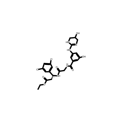 CCOC(=O)C[C@H](NC(=O)CNC(=O)c1cc(O)cc(NC2=NCC(O)CN2)c1)c1cc(Cl)cc(Cl)c1